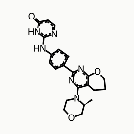 C[C@H]1COCCN1c1nc(-c2ccc(Nc3nccc(=O)[nH]3)cc2)nc2c1CCCO2